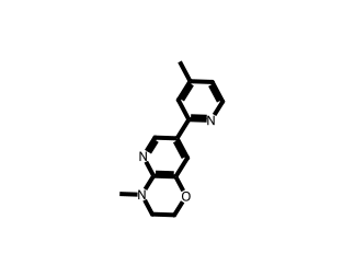 Cc1ccnc(-c2cnc3c(c2)OCCN3C)c1